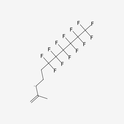 C=C(C)[CH]CCC(F)(F)C(F)(F)C(F)(F)C(F)(F)C(F)(F)C(F)(F)F